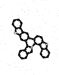 c1ccc2c(c1)cn1c2c2cc3oc4ccccc4c3cc2c2ccc3sc4ccccc4c3c21